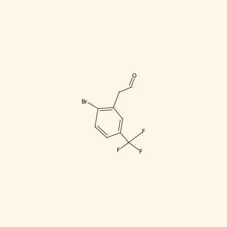 O=[C]Cc1cc(C(F)(F)F)ccc1Br